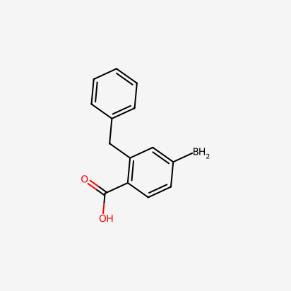 Bc1ccc(C(=O)O)c(Cc2ccccc2)c1